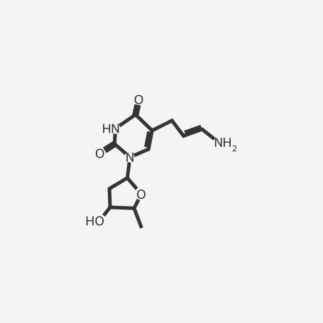 CC1OC(n2cc(C/C=C/N)c(=O)[nH]c2=O)CC1O